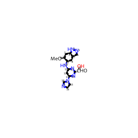 COc1cc2[nH]ncc2cc1Nc1cc(-n2ccnc2)ncn1.O=CO